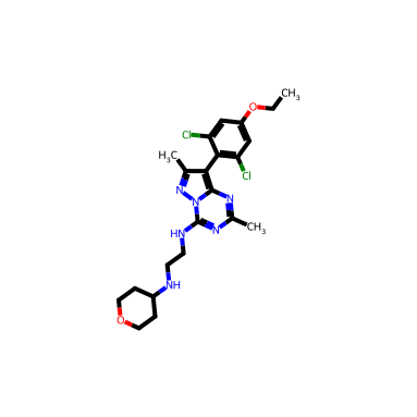 CCOc1cc(Cl)c(-c2c(C)nn3c(NCCNC4CCOCC4)nc(C)nc23)c(Cl)c1